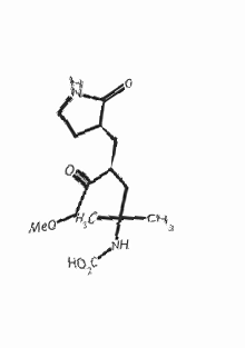 COCC(=O)[C@@H](C[C@H]1CCNC1=O)CC(C)(C)NC(=O)O